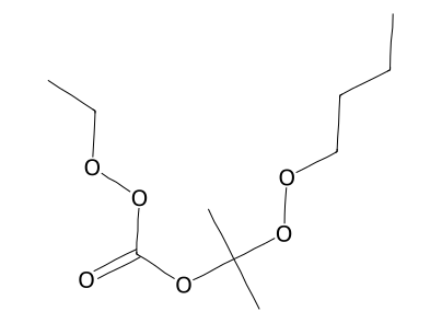 CCCCOOC(C)(C)OC(=O)OOCC